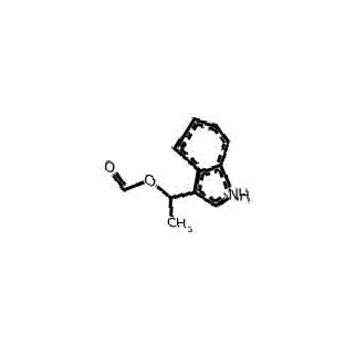 CC(OC=O)c1c[nH]c2ccccc12